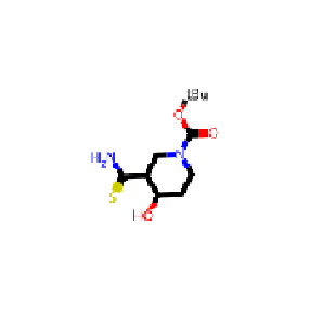 CC(C)(C)OC(=O)N1CCC(O)C(C(N)=S)C1